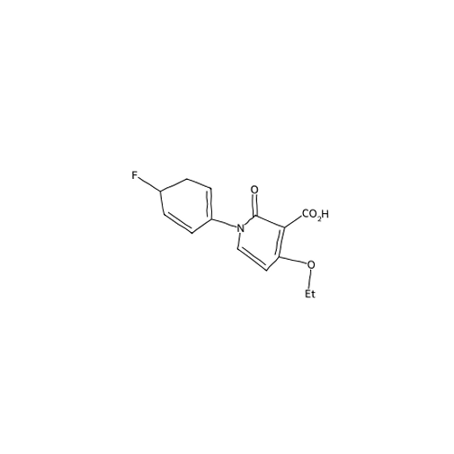 CCOc1ccn(C2=CCC(F)C=C2)c(=O)c1C(=O)O